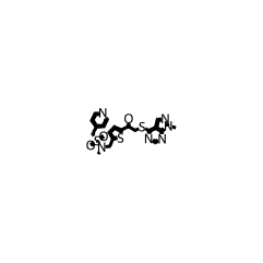 CN(Cc1ccc(C(=O)CSc2ncnc3c2cnn3C)s1)S(=O)(=O)Cc1ccncc1